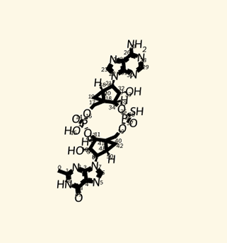 Cc1nc2c(ncn2[C@H]2[C@H](O)[C@@H]3OP(=O)(O)OCC45C[C@@H]4[C@@H](n4cnc6c(N)ncnc64)[C@H](O)[C@@H]5OP(=O)(S)OCC34C[C@H]24)c(=O)[nH]1